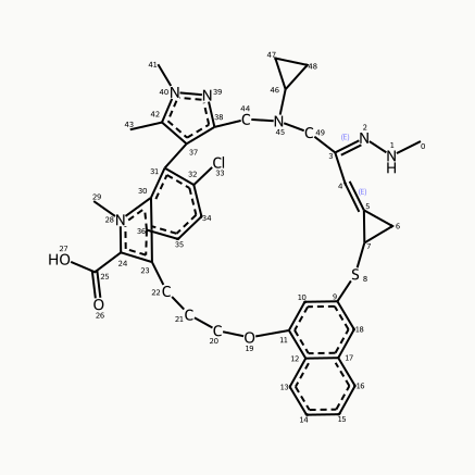 CN/N=C1\C=C2/CC2Sc2cc(c3ccccc3c2)OCCCc2c(C(=O)O)n(C)c3c(c(Cl)ccc23)-c2c(nn(C)c2C)CN(C2CC2)C1